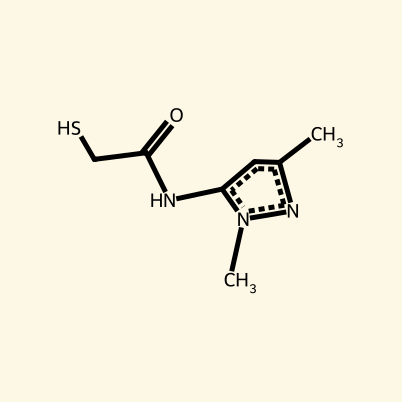 Cc1cc(NC(=O)CS)n(C)n1